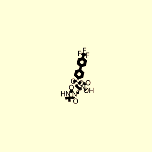 CC1(C)NC(=O)N(C[C@@H](CS(=O)(=O)c2ccc(-c3ccc(C(F)(F)F)cc3)cc2)N(O)C=O)C1=O